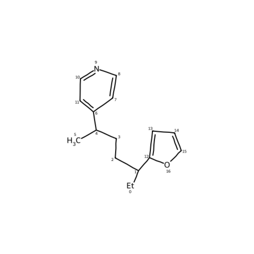 CCC(CCC(C)c1ccncc1)c1ccco1